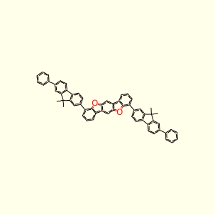 CC1(C)c2cc(-c3ccccc3)ccc2-c2ccc(-c3cccc4c3oc3cc5c(cc34)oc3c(-c4ccc6c(c4)C(C)(C)c4cc(-c7ccccc7)ccc4-6)cccc35)cc21